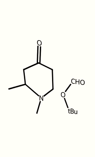 CC(C)(C)OC=O.CC1CC(=O)CCN1C